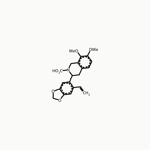 C=Cc1cc2c(cc1C1Cc3ccc(OC)c(OC)c3CN1C(=O)O)OCO2